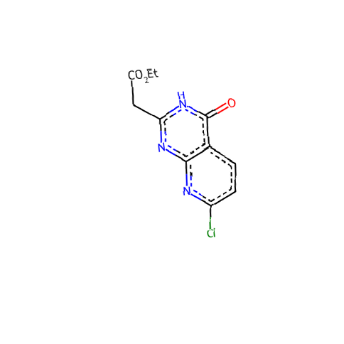 CCOC(=O)Cc1nc2nc(Cl)ccc2c(=O)[nH]1